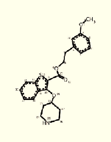 COc1cccc(CCOC(=O)c2sc3ccccc3c2OC2CCNCC2)c1